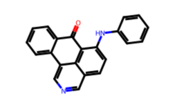 O=C1c2ccccc2-c2cncc3ccc(Nc4ccccc4)c1c23